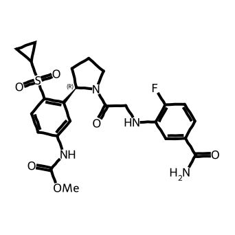 COC(=O)Nc1ccc(S(=O)(=O)C2CC2)c([C@H]2CCCN2C(=O)CNc2cc(C(N)=O)ccc2F)c1